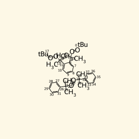 CC(C)(C)OOC(C)(C)c1ccccc1C(C)(C)OOC(C)(C)C.CC(C)(OOC(C)(C)c1ccccc1)c1ccccc1